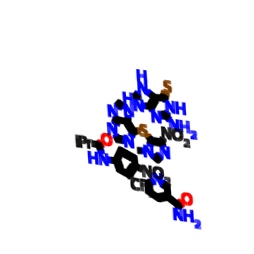 CC(C)C(=O)Nc1ccc([N+](=O)[O-])c(C(F)(F)F)c1.Cn1cnc([N+](=O)[O-])c1Sc1ncnc2nc[nH]c12.NC(=O)c1cccnc1.Nc1nc2nc[nH]c2c(=S)[nH]1